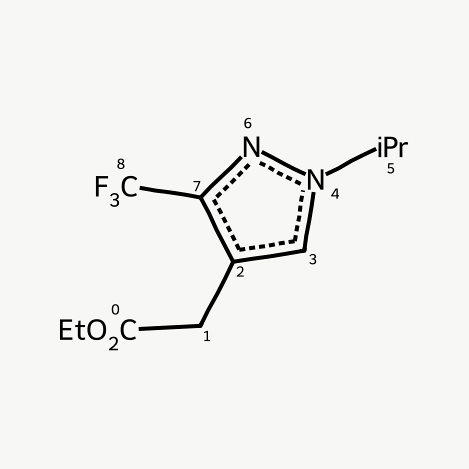 CCOC(=O)Cc1cn(C(C)C)nc1C(F)(F)F